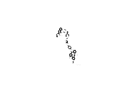 COCCOc1ccc(C(N)=O)c(-c2cc(C(CNC3CCC(NCc4cnn(CC(=O)N5CCC(C(=O)N6CCN(c7cccc8c7C(=O)N(C7CCC(=O)NC7=O)C8=O)CC6)CC5)c4)CC3)c3ccccc3)ccc2Cl)c1F